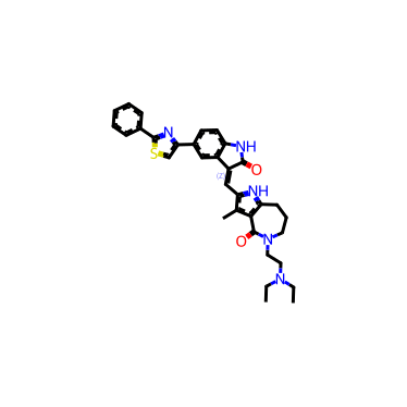 CCN(CC)CCN1CCCc2[nH]c(/C=C3\C(=O)Nc4ccc(-c5csc(-c6ccccc6)n5)cc43)c(C)c2C1=O